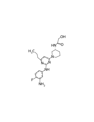 CCCc1cc(N2CCC[C@@H](NC(=O)CO)C2)nc(Nc2ccc(F)c(N)c2)n1